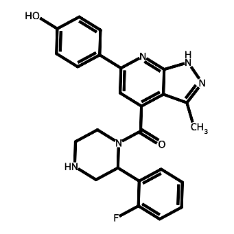 Cc1n[nH]c2nc(-c3ccc(O)cc3)cc(C(=O)N3CCNCC3c3ccccc3F)c12